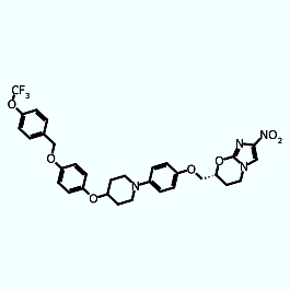 O=[N+]([O-])c1cn2c(n1)O[C@@H](COc1ccc(N3CCC(Oc4ccc(OCc5ccc(OC(F)(F)F)cc5)cc4)CC3)cc1)CC2